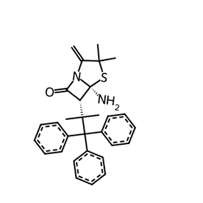 C=C1N2C(=O)[C@@H](C(C)(C)C(c3ccccc3)(c3ccccc3)c3ccccc3)[C@]2(N)SC1(C)C